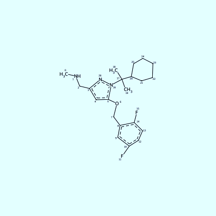 CNCc1cc(OCc2cc(F)ccc2F)n(C(C)(C)C2CCCCC2)n1